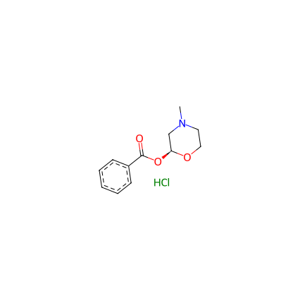 CN1CCO[C@@H](OC(=O)c2ccccc2)C1.Cl